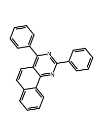 c1ccc(-c2nc(-c3ccccc3)c3ccc4ccccc4c3n2)cc1